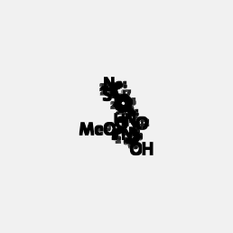 COC(C)C(=O)N1C[C@H](O)C[C@H]1C(=O)NCc1ccc(-c2scnc2C)cc1